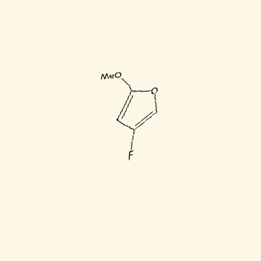 COc1cc(F)co1